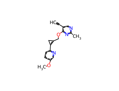 C#Cc1cnc(C)nc1OCC1=C(c2ccc(OC)cn2)C1